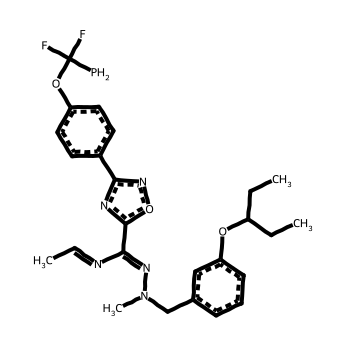 C/C=N/C(=N\N(C)Cc1cccc(OC(CC)CC)c1)c1nc(-c2ccc(OC(F)(F)P)cc2)no1